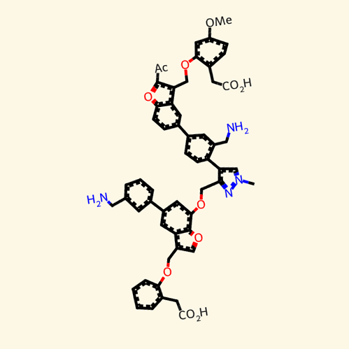 COc1ccc(CC(=O)O)c(OCc2c(C(C)=O)oc3ccc(-c4ccc(-c5cn(C)nc5COc5cc(-c6cccc(CN)c6)cc6c(COc7ccccc7CC(=O)O)coc56)c(CN)c4)cc23)c1